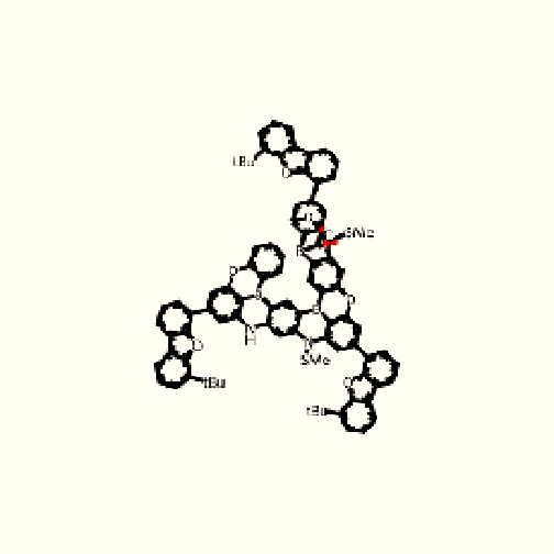 CSN1c2cc3c(cc2B2c4cc5c(cc4Oc4cc(-c6cccc7c6oc6c(C(C)(C)C)cccc67)cc1c42)N(SC)c1cc(-c2cccc4c2oc2c(C(C)(C)C)cccc24)cc2c1B5c1ccccc1O2)B1c2ccccc2Oc2cc(-c4cccc5c4oc4c(C(C)(C)C)cccc45)cc(c21)N3